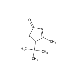 CC1=NC(=O)SC1C(C)(C)C